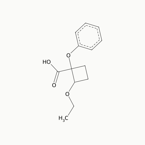 CCOC1CCC1(Oc1ccccc1)C(=O)O